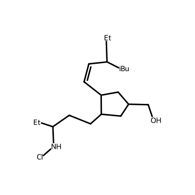 CCC(CCC1CC(CO)CC1/C=C\C(CC)C(C)CC)NCl